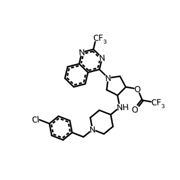 O=C(OC1CN(c2nc(C(F)(F)F)nc3ccccc23)CC1NC1CCN(Cc2ccc(Cl)cc2)CC1)C(F)(F)F